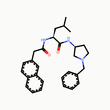 CC(C)C[C@H](NC(=O)Cc1ccc2ccccc2c1)C(=O)N[C@H]1CCN(Cc2ccccc2)C1